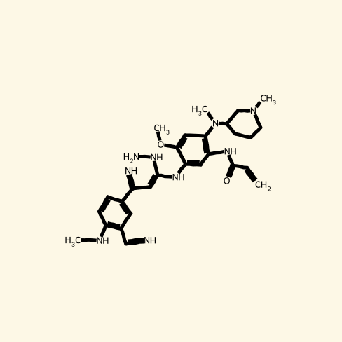 C=CC(=O)Nc1cc(N/C(=C/C(=N)c2ccc(NC)c(C=N)c2)NN)c(OC)cc1N(C)C1CCCN(C)C1